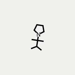 CC(C)C(C)(C)N1CCCC1